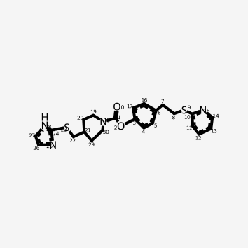 O=C(Oc1ccc(CCSc2ccccn2)cc1)N1CCC(CSc2ncc[nH]2)CC1